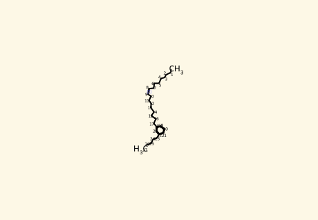 CCCCCCCC/C=C\CCCCCCCCc1[c]ccc(CCCCC)c1